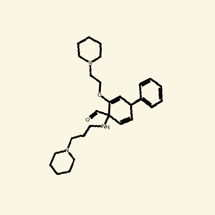 O=CC1(NCCCN2CCCCC2)C=CC(c2ccccc2)C=C1OCCN1CCCCC1